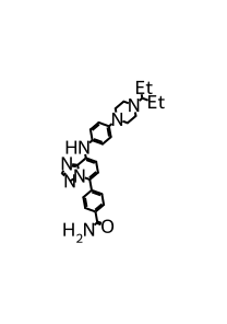 CCC(CC)N1CCN(c2ccc(Nc3ccc(-c4ccc(C(N)=O)cc4)n4ncnc34)cc2)CC1